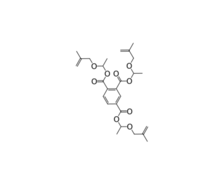 C=C(C)COC(C)OC(=O)c1ccc(C(=O)OC(C)OCC(=C)C)c(C(=O)OC(C)OCC(=C)C)c1